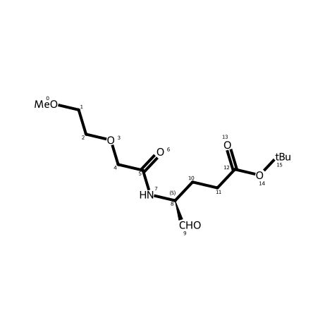 COCCOCC(=O)N[C@H](C=O)CCC(=O)OC(C)(C)C